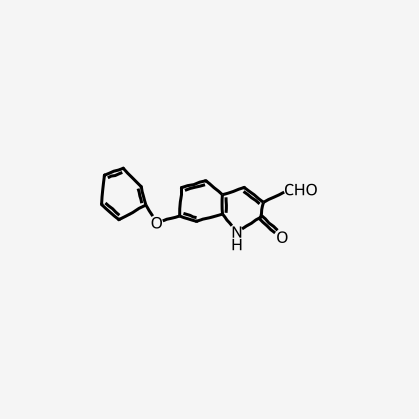 O=Cc1cc2ccc(Oc3ccccc3)cc2[nH]c1=O